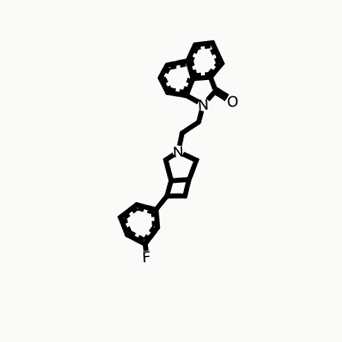 O=C1c2cccc3cccc(c23)N1CCN1CC2CC(c3cccc(F)c3)C2C1